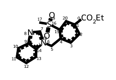 CCOC(=O)c1ccc(Cn2cnc3ccccc32)c(S(C)(=O)=O)c1